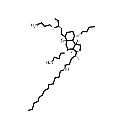 CCCCCCCCCCCCCNCCC[C@@H](C)[C@H]1CC[C@H]2C3[C@H](OCCCC)CC[C@](C)(CC[C@H](CC)OCCCN)[C@H]3C[C@H](OCCCN)[C@]12C